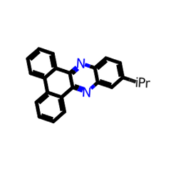 CC(C)c1ccc2nc3c4ccccc4c4ccccc4c3nc2c1